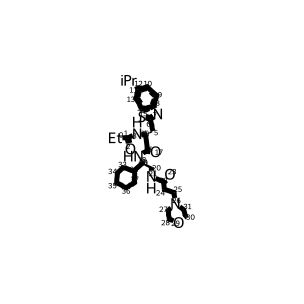 CCC(=O)N[C@H](Cc1nc2ccc(C(C)C)cc2s1)C(=O)N[C@@H](CNC(=O)CCN1CCOCC1)C1CCCCC1